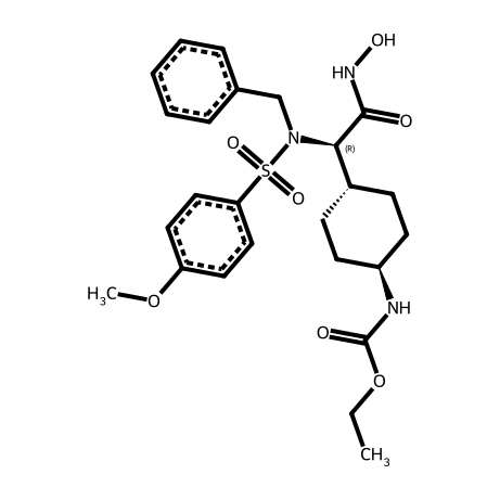 CCOC(=O)N[C@H]1CC[C@H]([C@H](C(=O)NO)N(Cc2ccccc2)S(=O)(=O)c2ccc(OC)cc2)CC1